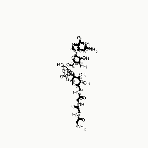 NCC(=O)NCC(=O)NCC(=O)NCC1O[C@H](OP(=O)(O)OP(=O)(O)OC[C@H]2O[C@@H](n3cnc4c(=O)[nH]c(N)cc43)C(O)C2O)C(O)C(O)[C@@H]1O